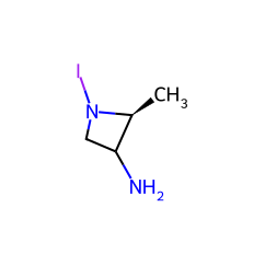 C[C@H]1C(N)CN1I